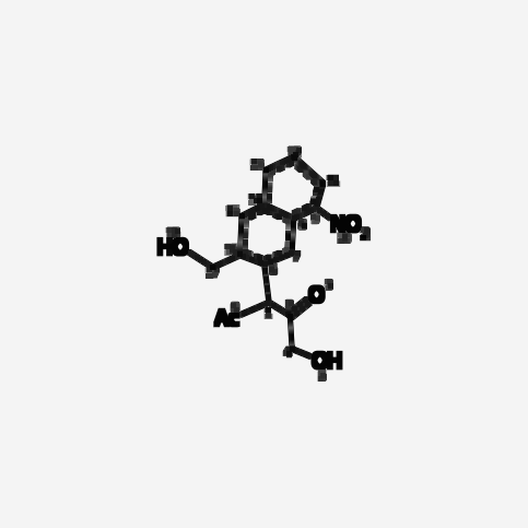 CC(=O)C(C(=O)CO)c1cc2c([N+](=O)[O-])cccc2cc1CO